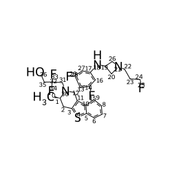 C[C@@H]1Cc2sc3ccccc3c2[C@@H](c2c(F)cc(NC3CN(CCCF)C3)cc2F)N1CC(F)(F)CO